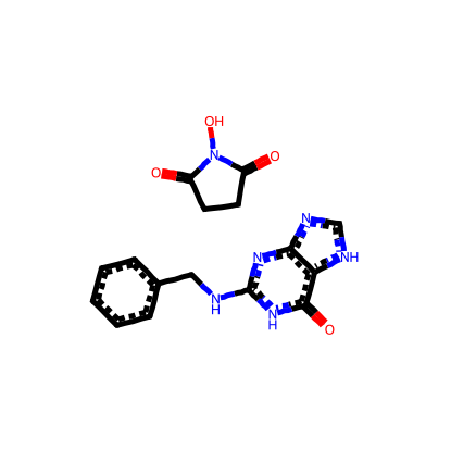 O=C1CCC(=O)N1O.O=c1[nH]c(NCc2ccccc2)nc2nc[nH]c12